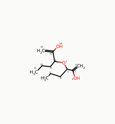 C=C(O)C(CCC)OC(CCC)C(=C)O